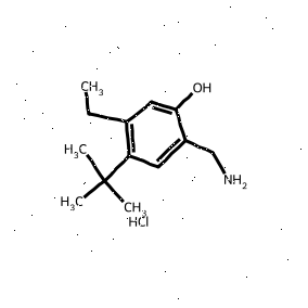 CCc1cc(O)c(CN)cc1C(C)(C)C.Cl